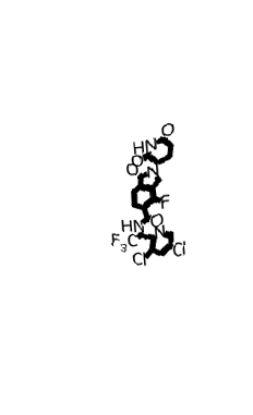 O=C1CCC(N2Cc3c(ccc(C(=O)NC(c4ncc(Cl)cc4Cl)C(F)(F)F)c3F)C2=O)C(=O)N1